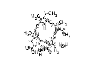 C=Cc1c(C)c2cc3nc(c(CC(=O)O)c4nc(cc5[nH]c(cc1[nH]2)c(C)c5CC)C(C)=C4C(=O)O)[C@@H](CCC(=O)O)[C@@H]3C.[Cu].[NaH]